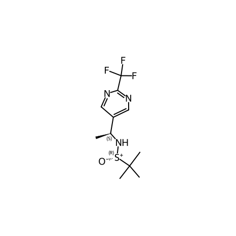 C[C@H](N[S@@+]([O-])C(C)(C)C)c1cnc(C(F)(F)F)nc1